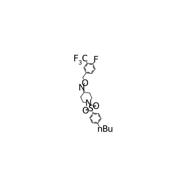 CCCCc1ccc(S(=O)(=O)N2CCC(=NOCc3ccc(F)c(C(F)(F)F)c3)CC2)cc1